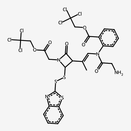 CC(=CN(C(=O)CN)c1ccccc1C(=O)OCC(Cl)(Cl)Cl)C1C(=O)N(CC(=O)OCC(Cl)(Cl)Cl)C1SSc1nc2ccccc2s1